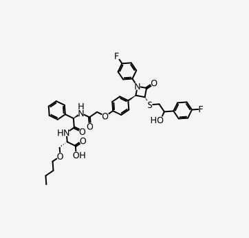 CCCCOC[C@H](NC(=O)[C@H](NC(=O)COc1ccc([C@@H]2[C@@H](SCC(O)c3ccc(F)cc3)C(=O)N2c2ccc(F)cc2)cc1)c1ccccc1)C(=O)O